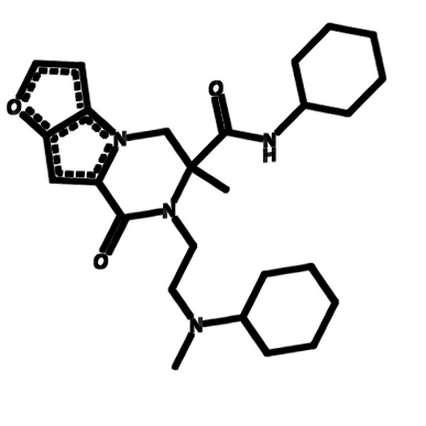 CN(CCN1C(=O)c2cc3occc3n2CC1(C)C(=O)NC1CCCCC1)C1CCCCC1